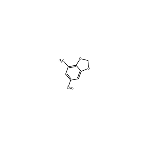 Cc1cc(C=O)cc2c1OCO2